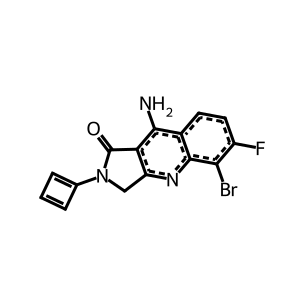 Nc1c2c(nc3c(Br)c(F)ccc13)CN(C1=CC=C1)C2=O